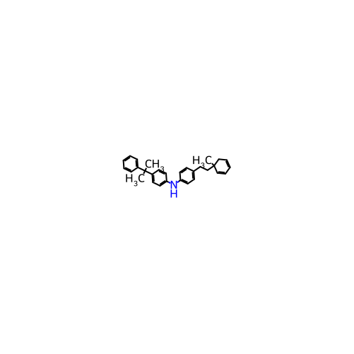 CC1(CCc2ccc(Nc3ccc(C(C)(C)c4ccccc4)cc3)cc2)C=CC=CC1